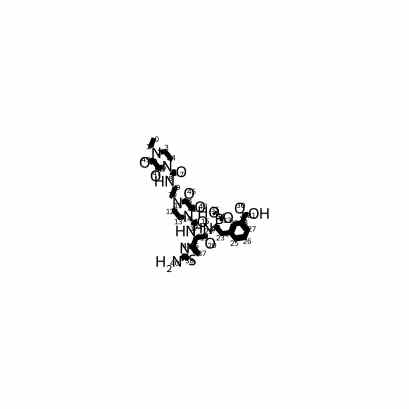 CCN1CCN(C(=O)NCCN2CCN(C(=O)NC(C(=O)N[C@H]3Cc4cccc(C(=O)O)c4OB3O)c3csc(N)n3)C(=O)C2=O)C(=O)C1=O